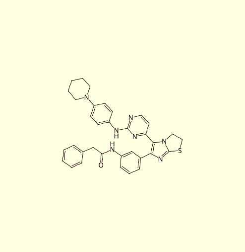 O=C(Cc1ccccc1)Nc1cccc(-c2nc3n(c2-c2ccnc(Nc4ccc(N5CCCCC5)cc4)n2)CCS3)c1